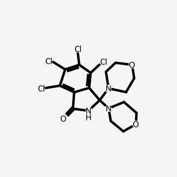 O=C1NC(N2CCOCC2)(N2CCOCC2)c2c(Cl)c(Cl)c(Cl)c(Cl)c21